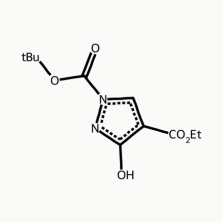 CCOC(=O)c1cn(C(=O)OC(C)(C)C)nc1O